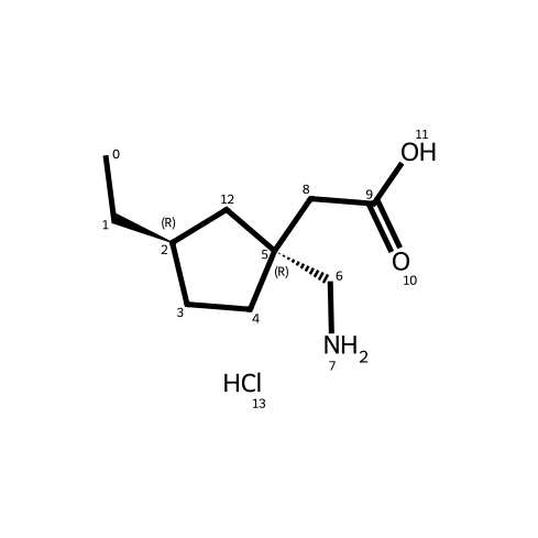 CC[C@@H]1CC[C@](CN)(CC(=O)O)C1.Cl